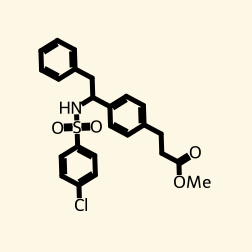 COC(=O)CCc1ccc(C(Cc2ccccc2)NS(=O)(=O)c2ccc(Cl)cc2)cc1